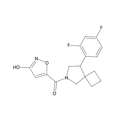 O=C(c1cc(O)no1)N1CC(c2ccc(F)cc2F)C2(CCC2)C1